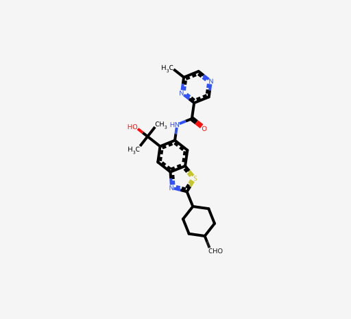 Cc1cncc(C(=O)Nc2cc3sc(C4CCC(C=O)CC4)nc3cc2C(C)(C)O)n1